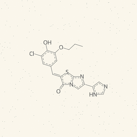 CCCOc1cc(/C=c2\sc3nc(-c4cnc[nH]4)cn3c2=O)cc(Cl)c1O